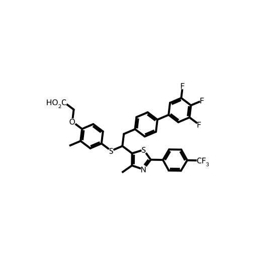 Cc1cc(SC(Cc2ccc(-c3cc(F)c(F)c(F)c3)cc2)c2sc(-c3ccc(C(F)(F)F)cc3)nc2C)ccc1OCC(=O)O